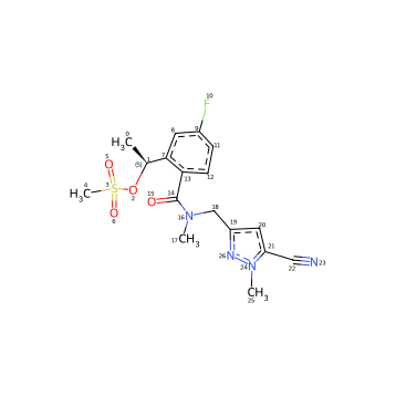 C[C@H](OS(C)(=O)=O)c1cc(F)ccc1C(=O)N(C)Cc1cc(C#N)n(C)n1